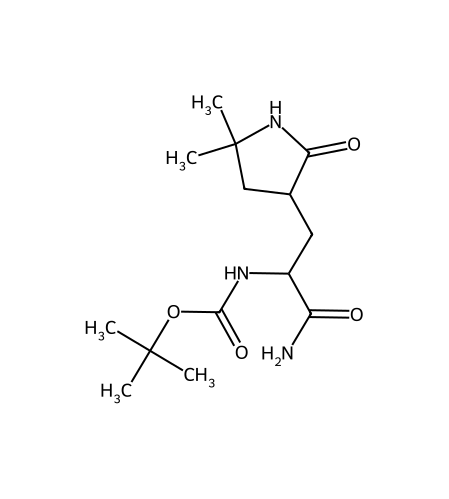 CC1(C)CC(CC(NC(=O)OC(C)(C)C)C(N)=O)C(=O)N1